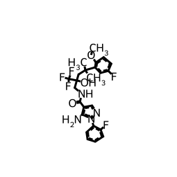 COc1ccc(F)cc1C(C)(C)CC(O)(CNC(=O)c1cnn(-c2ccccc2F)c1N)C(F)(F)F